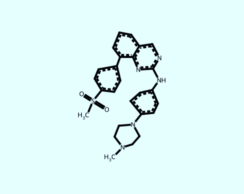 CN1CCN(c2ccc(Nc3ncc4cccc(-c5ccc(S(C)(=O)=O)cc5)c4n3)cc2)CC1